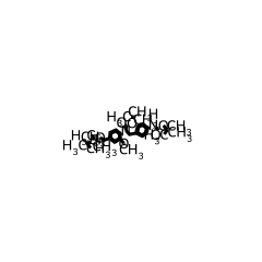 COc1cc(CO[Si](C)(C)C(C)(C)C)ccc1N(Cc1ccc(NC(=O)OC(C)(C)C)cc1)C(=O)OC(C)(C)C